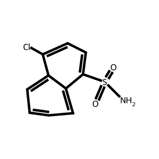 NS(=O)(=O)c1ccc(Cl)c2ccccc12